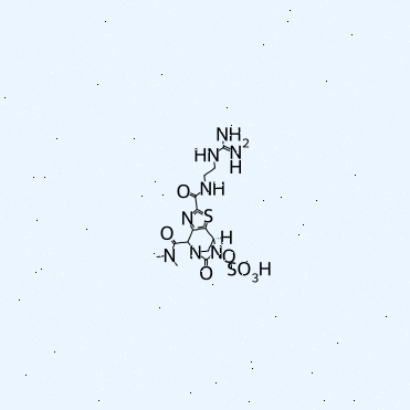 CN(C)C(=O)C1c2nc(C(=O)NCCNC(=N)N)sc2[C@@H]2CN1C(=O)N2OS(=O)(=O)O